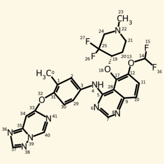 Cc1cc(Nc2ncnc3ccc(OC(F)F)c(O[C@H]4CCN(C)CC4(F)F)c23)ccc1Oc1cc2ncnn2cn1